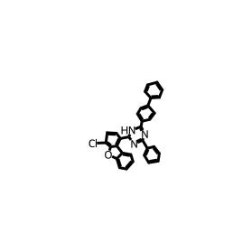 Clc1ccc(C2N=C(c3ccccc3)N=C(c3ccc(-c4ccccc4)cc3)N2)c2c1oc1ccccc12